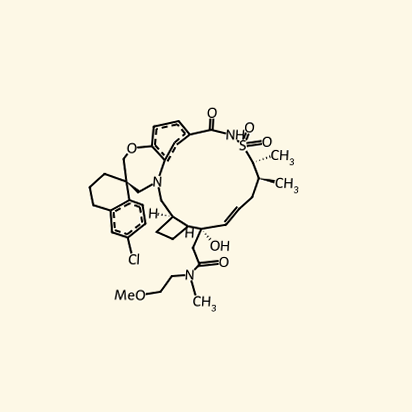 COCCN(C)C(=O)C[C@]1(O)/C=C/C[C@H](C)[C@@H](C)S(=O)(=O)NC(=O)c2ccc3c(c2)N(C[C@@H]2CC[C@H]21)C[C@@]1(CCCc2cc(Cl)ccc21)CO3